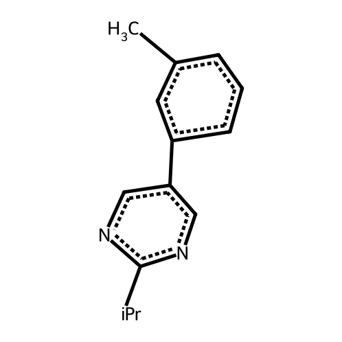 Cc1cccc(-c2cnc(C(C)C)nc2)c1